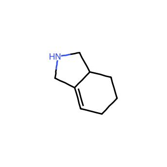 C1=C2CNCC2CCC1